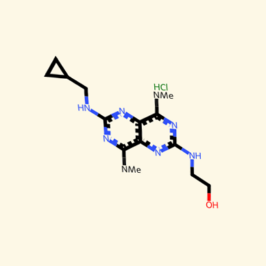 CNc1nc(NCC2CC2)nc2c(NC)nc(NCCO)nc12.Cl